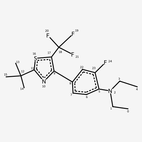 CCN(CC)c1ccc(-c2nc(C(C)(C)C)sc2C(F)(F)F)cc1F